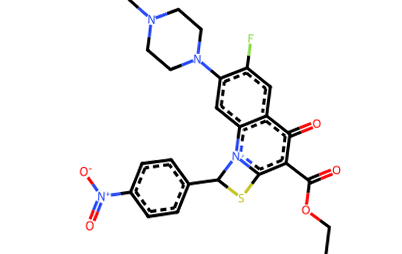 CCOC(=O)c1c2n(c3cc(N4CCN(C)CC4)c(F)cc3c1=O)C(c1ccc([N+](=O)[O-])cc1)S2